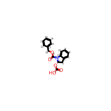 O=C(O)O[C@H]1Cc2ccccc2N1C(=O)OCc1ccccc1